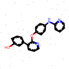 Oc1cccc(-c2cccnc2Oc2ccc(Nc3ccccn3)cc2)c1